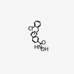 O=C(NO)c1ccc2ccn(Cc3ccccc3Cl)c2c1